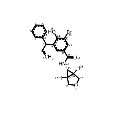 C=CC(c1ccccc1)c1cc(C(=O)N[C@@H]2[C@@H]3COC[C@@H]32)cc(Br)c1O